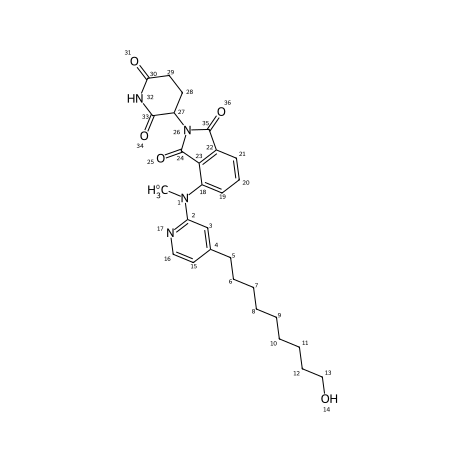 CN(c1cc(CCCCCCCCCO)ccn1)c1cccc2c1C(=O)N(C1CCC(=O)NC1=O)C2=O